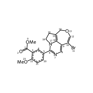 COC(=O)c1cc(C2=NC=C3C(Br)=COCC4=C3N2CC4)ccc1OC